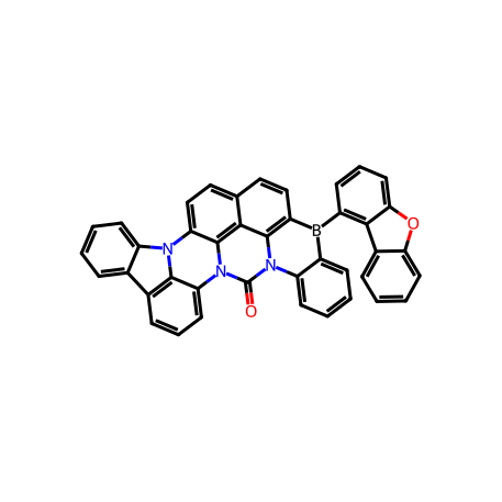 O=c1n2c3cccc4c5ccccc5n(c5ccc6ccc7c(c6c5-2)n1-c1ccccc1B7c1cccc2oc5ccccc5c12)c43